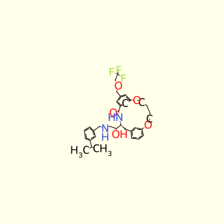 CC(C)c1cccc(CNC[C@@H](O)[C@@H]2Cc3cccc(c3)OCCCCOc3cc(COCC(F)(F)F)cc(c3)C(=O)N2)c1